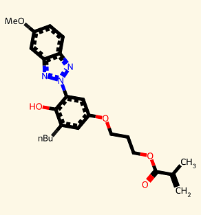 C=C(C)C(=O)OCCCOc1cc(CCCC)c(O)c(-n2nc3ccc(OC)cc3n2)c1